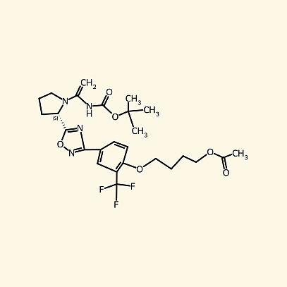 C=C(NC(=O)OC(C)(C)C)N1CCC[C@H]1c1nc(-c2ccc(OCCCCOC(C)=O)c(C(F)(F)F)c2)no1